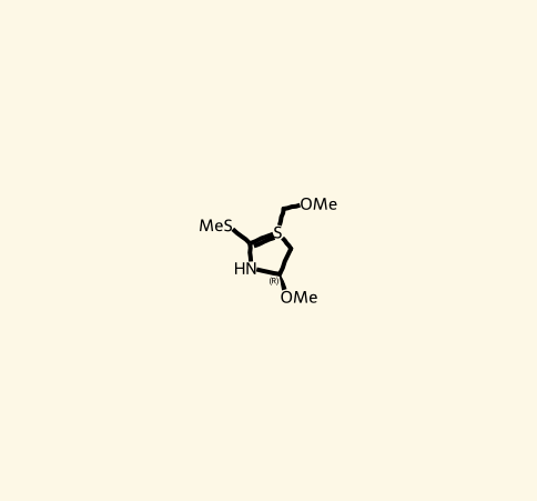 COCS1=C(SC)N[C@H](OC)C1